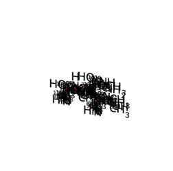 CC(C)(N)CC(=O)N[C@@H]1CCc2cc(O)ccc2N(Cc2ccc(-c3ccccc3-c3nnn[nH]3)cc2)C1=O.C[C@@H](O)CNC(C)(C)CC(=O)N[C@@H]1CCc2cc(F)ccc2N(Cc2ccc(-c3ccccc3-c3nnn[nH]3)cc2)C1=O.C[C@@H](O)CNC(C)(C)CC(=O)N[C@@H]1CCc2cc(O)ccc2N(Cc2ccc(-c3ccccc3-c3nnn[nH]3)cc2)C1=O